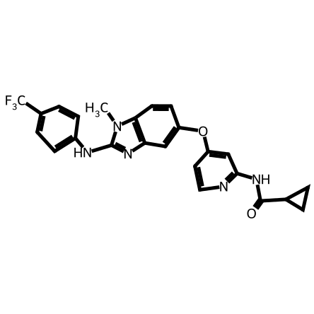 Cn1c(Nc2ccc(C(F)(F)F)cc2)nc2cc(Oc3ccnc(NC(=O)C4CC4)c3)ccc21